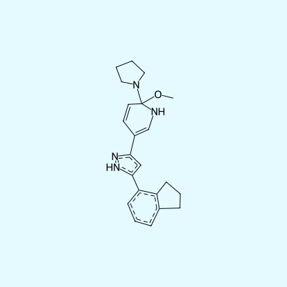 COC1(N2CCCC2)C=CC(c2cc(-c3cccc4c3CCC4)[nH]n2)=CN1